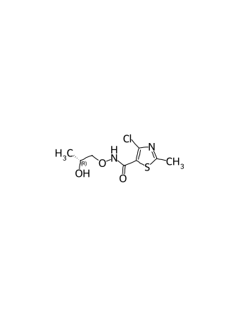 Cc1nc(Cl)c(C(=O)NOC[C@@H](C)O)s1